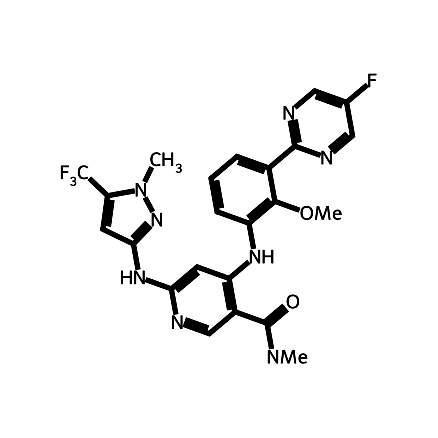 CNC(=O)c1cnc(Nc2cc(C(F)(F)F)n(C)n2)cc1Nc1cccc(-c2ncc(F)cn2)c1OC